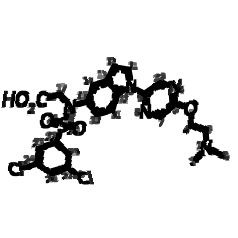 CN(C)CCOc1cnc(-n2ccc3cc(N(CC(=O)O)S(=O)(=O)C4C=C(Cl)C=C(Cl)C4)ccc32)cn1